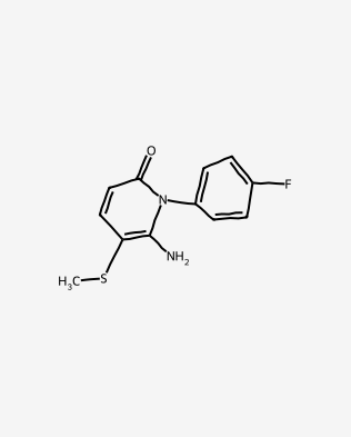 CSc1ccc(=O)n(-c2ccc(F)cc2)c1N